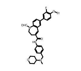 CCOc1ccc(-c2ccc3c(c2)C=C(C(=O)Nc2ccc(CN(C)C4CCOCC4)cc2)CCN3C=O)cc1F